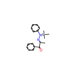 C/C(=N\N(c1ccccc1)[Si](C)(C)C)C(=O)c1ccccc1